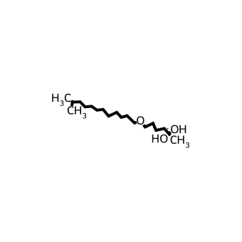 CC(C)CCCCCCCCCCOCCC[CH]C(C)(O)O